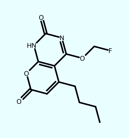 CCCCc1cc(=O)oc2[nH]c(=O)nc(OCF)c12